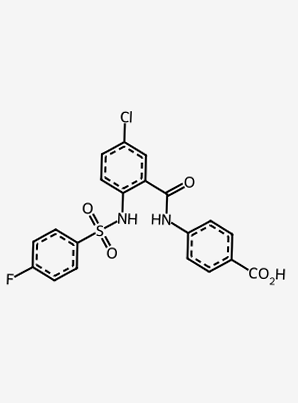 O=C(O)c1ccc(NC(=O)c2cc(Cl)ccc2NS(=O)(=O)c2ccc(F)cc2)cc1